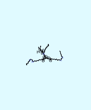 CCCCC/C=C\C/C=C\CCCCCCCC(=O)OCC(COC(=O)CCCCCCC/C=C\C/C=C\CCCCC)OC(=O)C/C=C(\CCCCCCCC)OC(=O)NCCN(C)CC